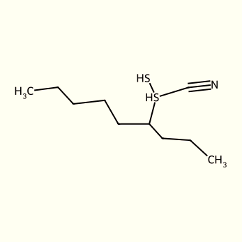 CCCCCC(CCC)[SH](S)C#N